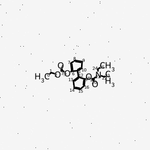 CCOC(=O)Oc1ccccc1-c1ccccc1OC(=O)N(CC)CC